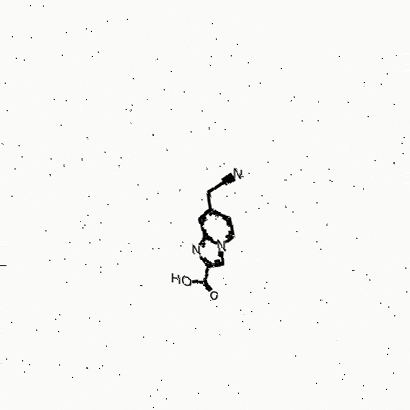 N#CCc1ccn2cc(C(=O)O)nc2c1